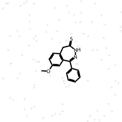 COc1ccc2c(c1)C(c1ccccc1)=NNC(=S)C2